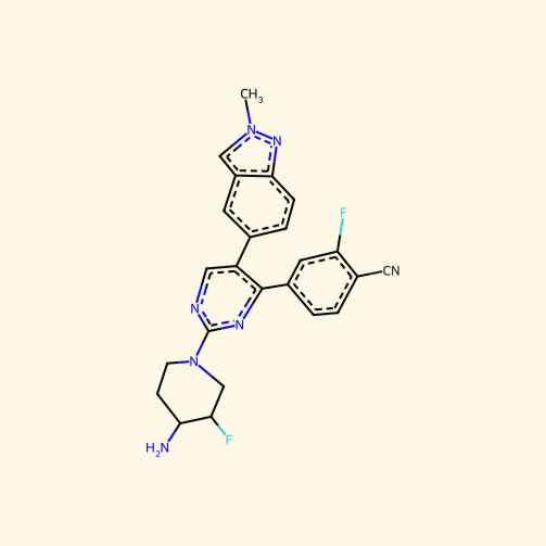 Cn1cc2cc(-c3cnc(N4CCC(N)C(F)C4)nc3-c3ccc(C#N)c(F)c3)ccc2n1